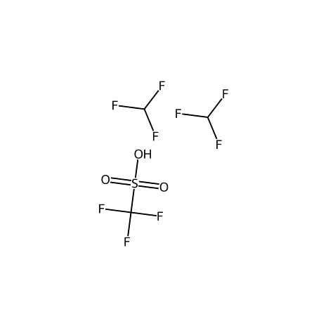 FC(F)F.FC(F)F.O=S(=O)(O)C(F)(F)F